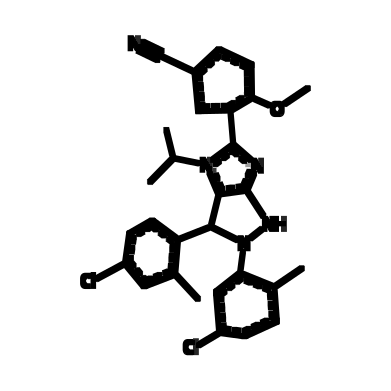 COc1ccc(C#N)cc1-c1nc2c(n1C(C)C)C(c1ccc(Cl)cc1C)N(c1cc(Cl)ccc1C)N2